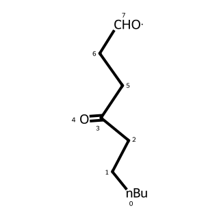 CCCCCCC(=O)CC[C]=O